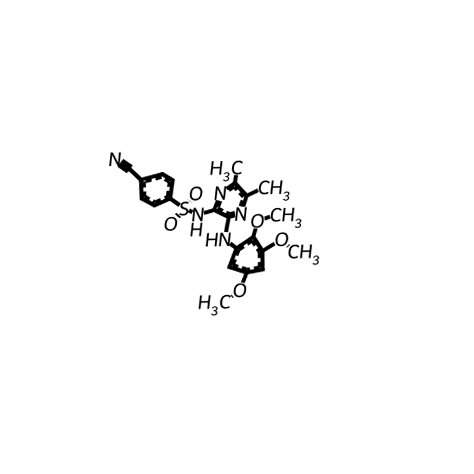 COc1cc(Nc2nc(C)c(C)nc2NS(=O)(=O)c2ccc(C#N)cc2)c(OC)c(OC)c1